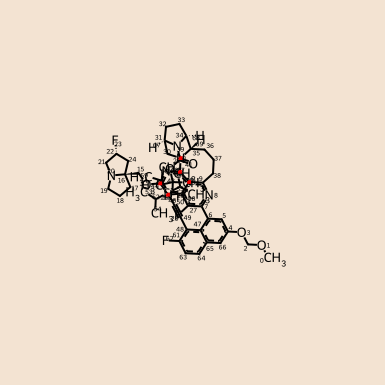 COCOc1cc(-c2nc3c4c(nc(OC[C@@]56CCCN5C[C@H](F)C6)nc4c2F)N2C[C@H]4CC[C@@H]([C@@H]2CCC3)N4C(=O)OC(C)(C)C)c2c(C#C[Si](C(C)C)(C(C)C)C(C)C)c(F)ccc2c1